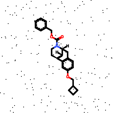 O=C(OCc1ccccc1)N1CC[C@]23CCCC[C@H]2[C@H]1Cc1ccc(OC[C]2CCC2)cc13